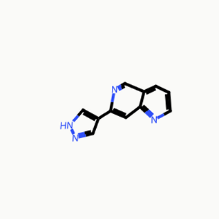 c1cnc2cc(-c3cn[nH]c3)ncc2c1